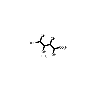 C.O=CC(O)C(O)C(O)C(O)C(=O)O